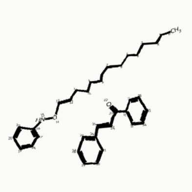 CCCCCCCCCCCCCCONc1ccccc1.O=C(C=Cc1ccccc1)c1ccccc1